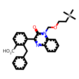 C[Si](C)(C)CCOCn1c(=O)c(-c2cccc(C(=O)O)c2Cc2ccccc2)nc2ccccc21